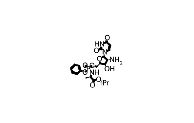 CC(C)OC(=O)[C@@H](C)N[P@@](=O)(OC[C@H]1O[C@@H](n2ccc(=O)[nH]c2=O)[C@H](N)[C@@H]1O)Oc1ccccc1